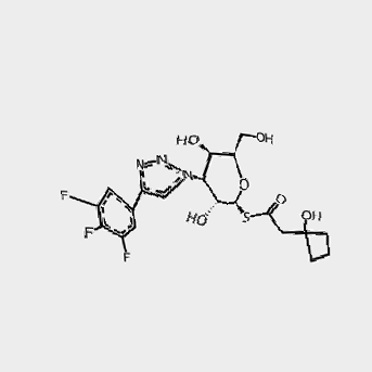 O=C(CC1(O)CCC1)S[C@@H]1O[C@H](CO)[C@H](O)[C@H](n2cc(-c3cc(F)c(F)c(F)c3)nn2)[C@H]1O